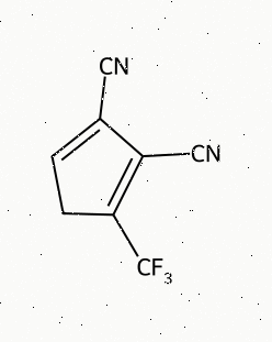 N#CC1=CCC(C(F)(F)F)=C1C#N